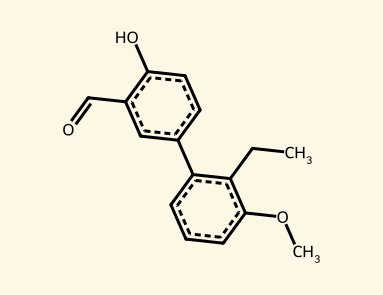 CCc1c(OC)cccc1-c1ccc(O)c(C=O)c1